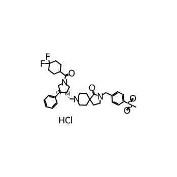 CS(=O)(=O)c1ccc(CN2CCC3(CCN(C[C@H]4CN(C(=O)C5CCC(F)(F)CC5)C[C@@H]4c4ccccc4)CC3)C2=O)cc1.Cl